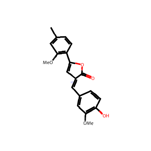 COc1cc(/C=C2/C=C(c3ccc(C)cc3OC)OC2=O)ccc1O